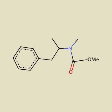 COC(=O)N(C)C(C)Cc1ccccc1